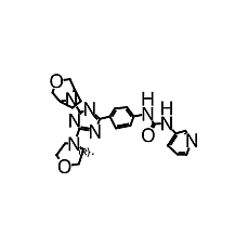 C[C@@H]1COCCN1c1nc(-c2ccc(NC(=O)Nc3cccnc3)cc2)nc(N2C3CCC2COC3)n1